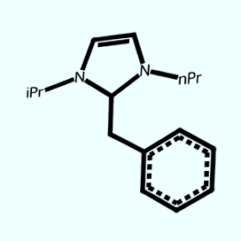 CCCN1C=CN(C(C)C)C1Cc1ccccc1